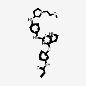 C=CC(=O)Nc1cccc(Oc2nc(Nc3ccc(NC4CCN(CCOC)C4)cc3)nc3[nH]ccc23)c1